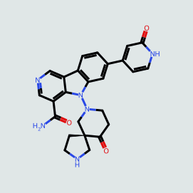 NC(=O)c1cncc2c3ccc(-c4cc[nH]c(=O)c4)cc3n(N3CCC(=O)[C@@]4(CCNC4)C3)c12